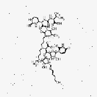 CCCCCNC[C@H]1O[C@H](OC(C(C(=O)O)N(CCCCC)CCCNC(=O)C(NC(=O)C(NC(=O)NC(C(=O)O)C(C)C)C2CCNC(=N)N2)C(O)C(C)C)[C@H]2O[C@@H](n3ccc(=O)[nH]c3=O)[C@H](O)[C@@H]2O)[C@H](OC)[C@H]1O